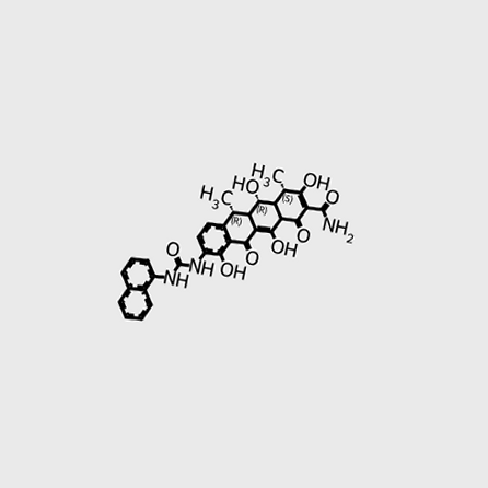 C[C@@H]1C(O)=C(C(N)=O)C(=O)C2C(O)=C3C(=O)c4c(ccc(NC(=O)Nc5cccc6ccccc56)c4O)[C@H](C)C3[C@H](O)C21